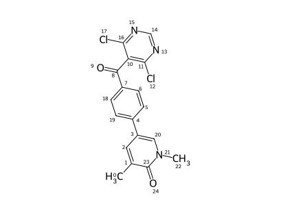 Cc1cc(-c2ccc(C(=O)c3c(Cl)ncnc3Cl)cc2)cn(C)c1=O